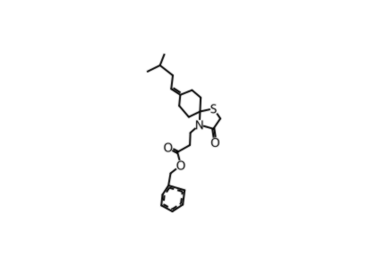 CC(C)CC=C1CCC2(CC1)SCC(=O)N2CCC(=O)OCc1ccccc1